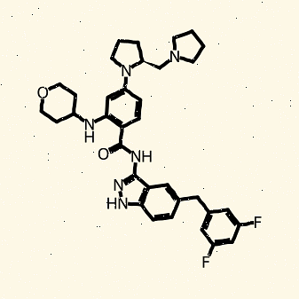 O=C(Nc1n[nH]c2ccc(Cc3cc(F)cc(F)c3)cc12)c1ccc(N2CCC[C@H]2CN2CCCC2)cc1NC1CCOCC1